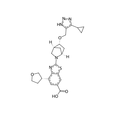 O=C(O)c1cc([C@@H]2CCOC2)c2nc(N3C[C@@H]4C[C@H]3C[C@H]4OCc3[nH]nnc3C3CC3)sc2c1